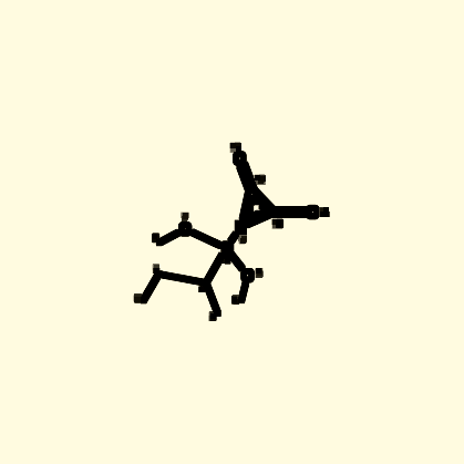 CCC(C)[Si](OC)(OC)n1c(=O)c1=O